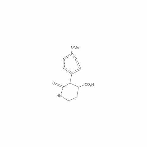 COc1ccc(C2C(=O)NCCC2C(=O)O)cc1